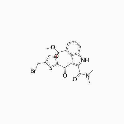 COC(=O)c1cccc2[nH]c(C(=O)N(C)C)c(C(=O)c3ccc(CBr)s3)c12